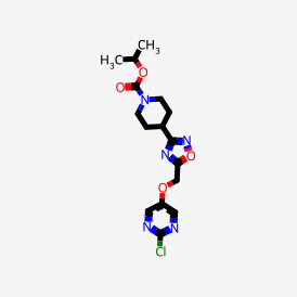 CC(C)OC(=O)N1CCC(c2noc(COc3cnc(Cl)nc3)n2)CC1